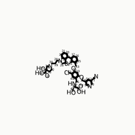 N#Cc1cncc(COc2cc(OCc3cccc(-c4cccc5c4CCN5CCCN4CCC(O)(C(=O)O)C4)c3Br)c(Cl)cc2CN[C@@H](CO)C(=O)O)c1